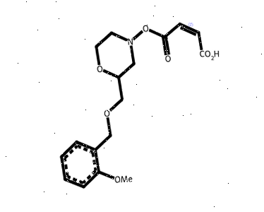 COc1ccccc1COCC1CN(OC(=O)/C=C\C(=O)O)CCO1